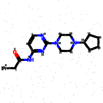 CC(C)CC(=O)Nc1ccnc(N2CCN(C3CCCC3)CC2)n1